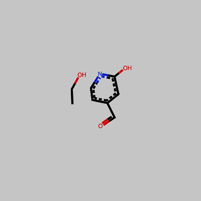 CCO.O=Cc1ccnc(O)c1